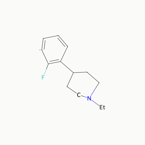 CCN1CCC(c2ccc[c]c2F)CC1